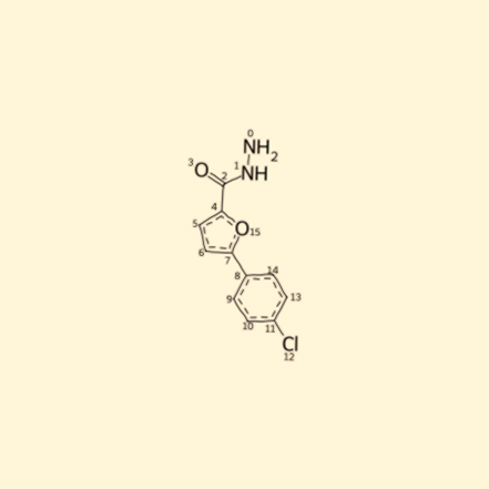 NNC(=O)c1ccc(-c2ccc(Cl)cc2)o1